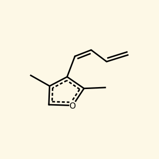 C=C/C=C\c1c(C)coc1C